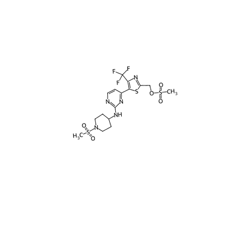 CS(=O)(=O)OCc1nc(C(F)(F)F)c(-c2ccnc(NC3CCN(S(C)(=O)=O)CC3)n2)s1